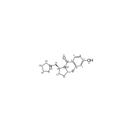 O=C(c1ccc(O)cc1F)N1CCC[C@H]1CN1CCCC1